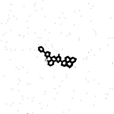 Cc1cc(-c2ccc3ccc4cccc5ccc2c3c45)cc2c1cc1c3c(cccc32)Oc2cc(-c3ccccc3)ccc2-1